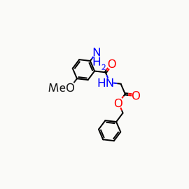 COc1ccc(N)c(C(=O)NCC(=O)OCc2ccccc2)c1